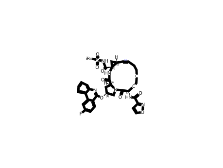 CCC(C)S(=O)(=O)NC(=O)[C@@]12C[C@H]1/C=C\CCCCC[C@H](NC(=O)c1ccon1)C(=O)N1C[C@H](Oc3nc4ccccc4c4cc(F)ccc34)C[C@H]1C(=O)N2